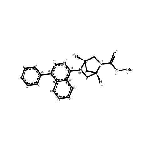 CC(C)(C)OC(=O)N1C[C@@H]2C[C@H]1CN2c1nnc(-c2ccccc2)c2ccccc12